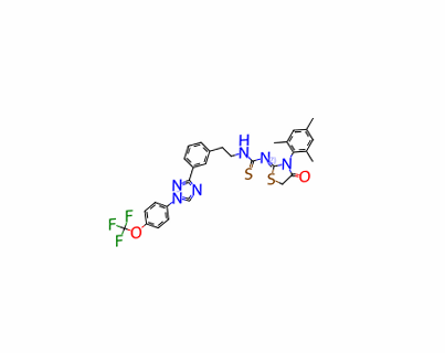 Cc1cc(C)c(N2C(=O)CS/C2=N\C(=S)NCCc2cccc(-c3ncn(-c4ccc(OC(F)(F)F)cc4)n3)c2)c(C)c1